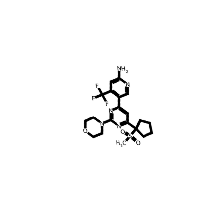 CS(=O)(=O)C1(c2cc(-c3cnc(N)cc3C(F)(F)F)nc(N3CCOCC3)n2)CCCC1